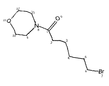 O=C(CCCCCBr)N1CCOCC1